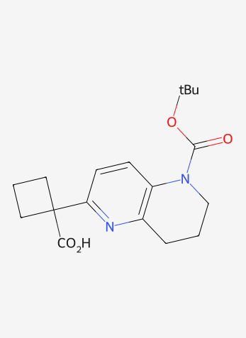 CC(C)(C)OC(=O)N1CCCc2nc(C3(C(=O)O)CCC3)ccc21